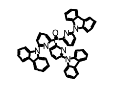 O=P(c1cccc(-n2c3ccccc3c3ccccc32)n1)(c1cccc(-n2c3ccccc3c3ccccc32)n1)c1cccc(-n2c3ccccc3c3ccccc32)n1